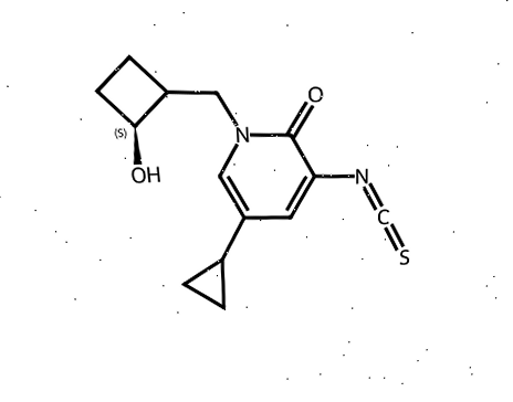 O=c1c(N=C=S)cc(C2CC2)cn1CC1CC[C@@H]1O